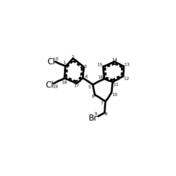 Clc1ccc(C2CC(CBr)Cc3ccccc32)cc1Cl